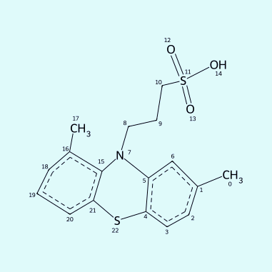 Cc1ccc2c(c1)N(CCCS(=O)(=O)O)c1c(C)cccc1S2